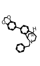 c1ccc(CN2CC[C@@H]3CC2c2cc(-c4ccc5c(c4)OCO5)ccc23)cc1